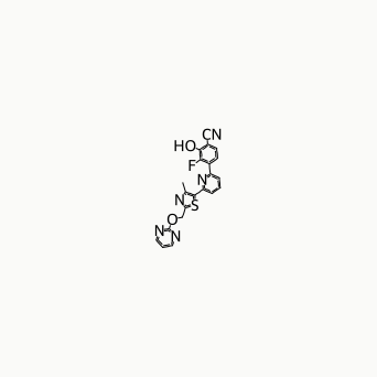 Cc1nc(COc2ncccn2)sc1-c1cccc(-c2ccc(C#N)c(O)c2F)n1